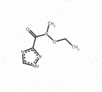 CCON(C)C(=O)c1nc[nH]n1